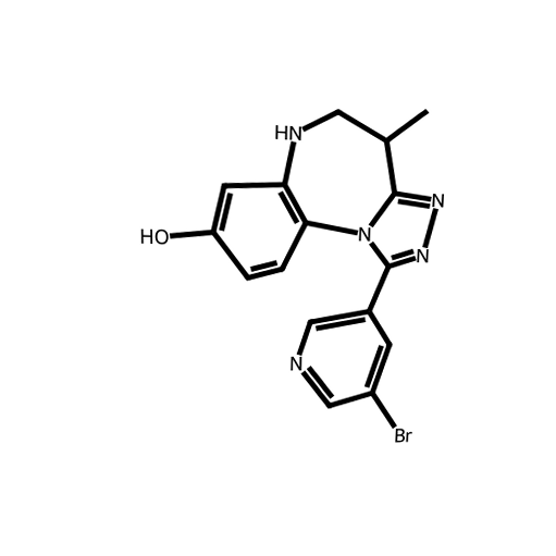 CC1CNc2cc(O)ccc2-n2c(-c3cncc(Br)c3)nnc21